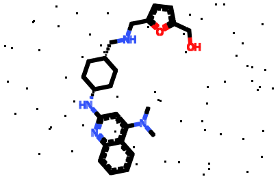 CN(C)c1cc(N[C@H]2CC[C@@H](CNCc3ccc(CO)o3)CC2)nc2ccccc12